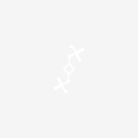 CCS(=O)(=O)OC1CC(OS(=O)(=O)CC)C1